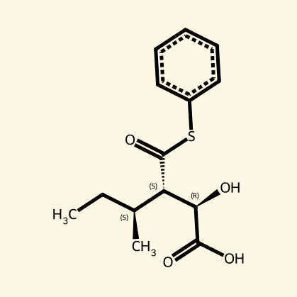 CC[C@H](C)[C@H](C(=O)Sc1ccccc1)[C@@H](O)C(=O)O